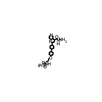 CC(C)S(=O)(=O)NCCCOc1ccc(-c2ccc(-c3cc(C(=O)NN)c4cnccc4n3)cc2)cc1